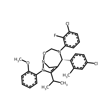 COc1ccccc1N1C(C(C)C)=C2CN1OCN(c1cccc(Cl)c1F)[C@@H]2c1ccc(Cl)cc1C